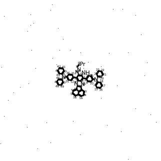 CC(C)C/N=N/c1c(N)c(-c2ccc(N(c3ccccc3)c3ccccc3)cc2)c2nc3c(nc2c1-c1ccc(N(c2ccccc2)c2ccccc2)cc1)-c1cccc2cccc-3c12